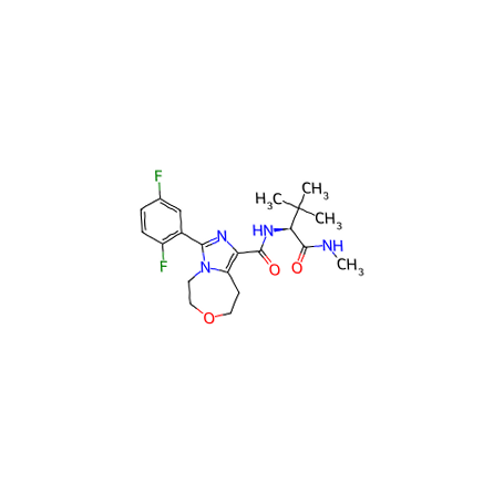 CNC(=O)[C@@H](NC(=O)c1nc(-c2cc(F)ccc2F)n2c1CCOCC2)C(C)(C)C